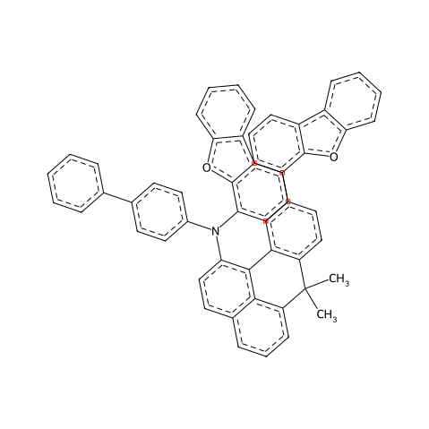 CC1(C)c2ccc(-c3cccc4c3oc3ccccc34)cc2-c2c(N(c3ccc(-c4ccccc4)cc3)c3cccc4c3oc3ccccc34)ccc3cccc1c23